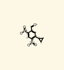 O=Cc1cc(C2CC2)c([N+](=O)[O-])cc1[N+](=O)[O-]